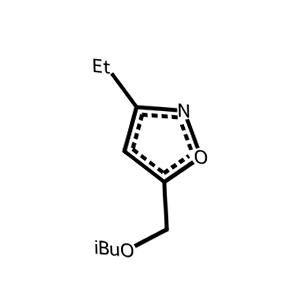 CCc1cc(COCC(C)C)on1